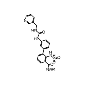 CNC(=O)c1cccc(-c2cccc(NC(=O)NCc3cccnc3)c2)c1N[SH](=O)=O